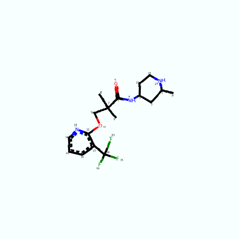 CC1CC(NC(=O)C(C)(C)COc2ncccc2C(F)(F)F)CCN1